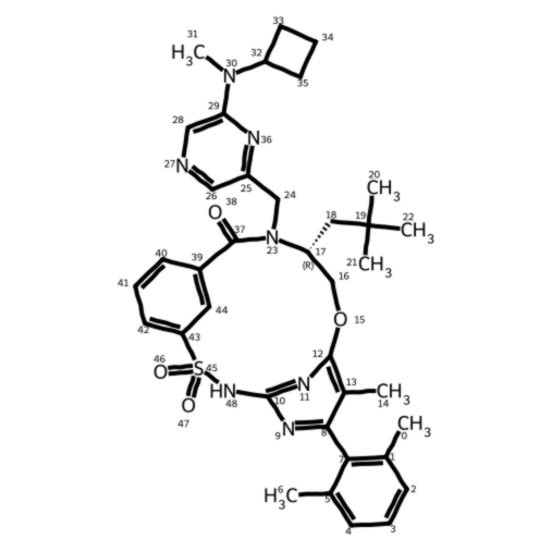 Cc1cccc(C)c1-c1nc2nc(c1C)OC[C@@H](CC(C)(C)C)N(Cc1cncc(N(C)C3CCC3)n1)C(=O)c1cccc(c1)S(=O)(=O)N2